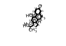 C[C@H](O)[C@H]1CC[C@H]2[C@@H]3CCC4=CC(=O)C=C[C@]4(C)[C@H]3C(O)C[C@]12C